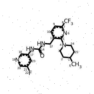 CC1CCN(c2nc(C(F)(F)F)ccc2CNC(=O)Nc2cncc(F)c2)CC1